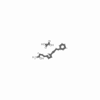 C[C@H](CCc1ccc(C#CCCc2ccccc2)s1)C(N)O.O=C(O)C(=O)O